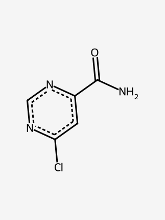 NC(=O)c1cc(Cl)ncn1